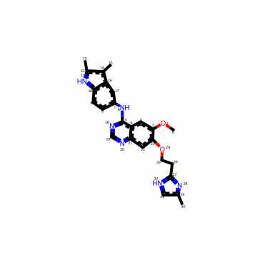 COc1cc2c(Nc3ccc4[nH]c(C)c(C)c4c3)ncnc2cc1OCCc1nc(C)c[nH]1